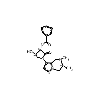 C[C@H]1Cn2ncc(N3C[C@@H](O)[C@H](OC(=O)c4ccccc4)C3=O)c2CN1C